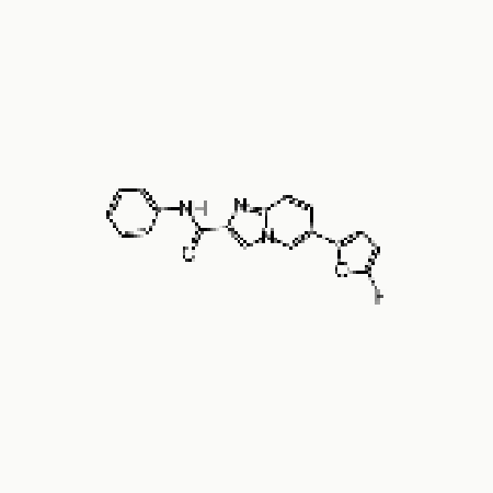 O=C(Nc1ccccc1)c1cn2cc(-c3ccc(F)o3)ccc2n1